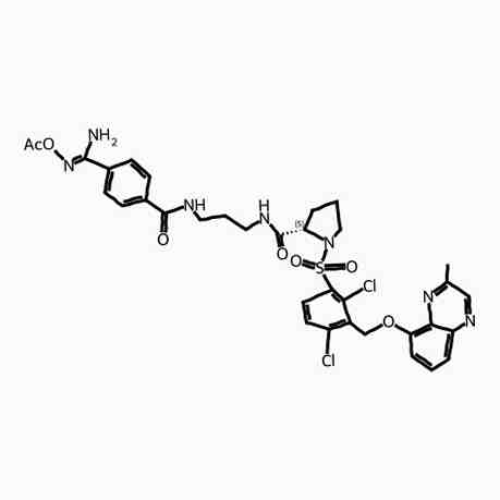 CC(=O)ON=C(N)c1ccc(C(=O)NCCCNC(=O)[C@@H]2CCCN2S(=O)(=O)c2ccc(Cl)c(COc3cccc4ncc(C)nc34)c2Cl)cc1